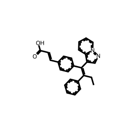 CC/C(=C(/c1ccc(/C=C/C(=O)O)cc1)c1cnn2ccccc12)c1ccccc1